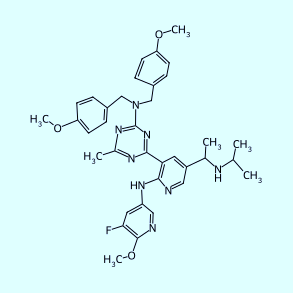 COc1ccc(CN(Cc2ccc(OC)cc2)c2nc(C)nc(-c3cc(C(C)NC(C)C)cnc3Nc3cnc(OC)c(F)c3)n2)cc1